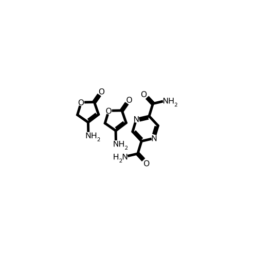 NC(=O)c1cnc(C(N)=O)cn1.NC1=CC(=O)OC1.NC1=CC(=O)OC1